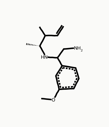 C=CC(C)[C@@H](C)NC(CN)c1cccc(OC)c1